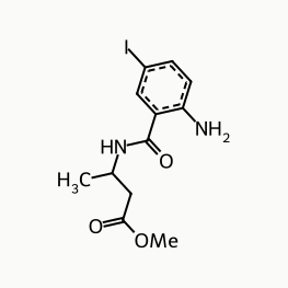 COC(=O)CC(C)NC(=O)c1cc(I)ccc1N